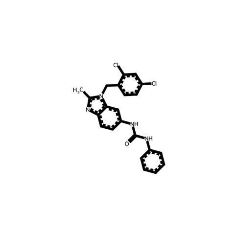 Cc1nc2ccc(NC(=O)Nc3ccccc3)cc2n1Cc1ccc(Cl)cc1Cl